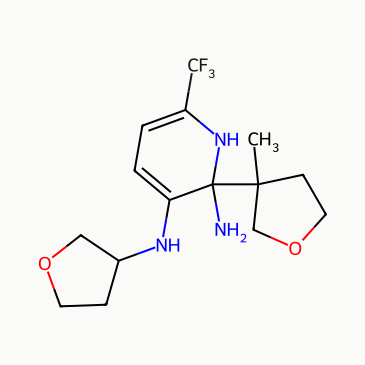 CC1(C2(N)NC(C(F)(F)F)=CC=C2NC2CCOC2)CCOC1